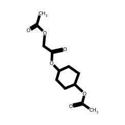 CC(=O)OCC(=O)OC1CCC(OC(C)=O)CC1